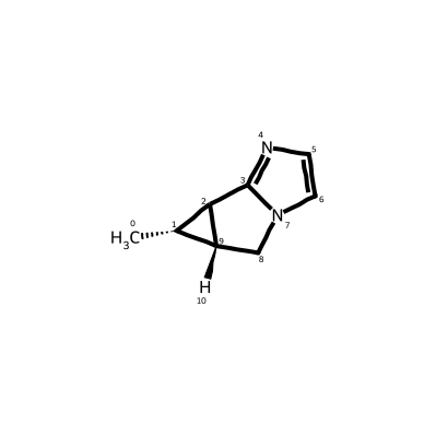 C[C@@H]1C2c3nccn3C[C@@H]21